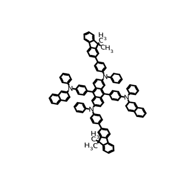 CC1(C)c2ccccc2-c2ccc(-c3ccc(N(C4=CC=CCC4)c4ccc5c(-c6ccc(N(c7ccccc7)c7ccc8ccccc8c7)cc6)c6cc(N(c7ccccc7)c7ccc(-c8ccc9c(c8)C(C)(C)c8ccccc8-9)cc7)ccc6c(-c6ccc(N(c7ccccc7)C7C=c8ccccc8=CC7)cc6)c5c4)cc3)cc21